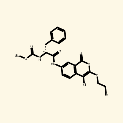 CC(C)(C)OC(=O)N[C@H](Cc1ccccc1)C(=O)Nc1ccc2c(Cl)c(OCCBr)oc(=O)c2c1